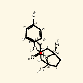 O=C(CCl)N1[C@@H]2CC[C@H]1CC(Oc1ccc(F)cc1)C2